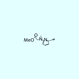 C#Cc1cccc(N(C)CC(=O)OC)n1